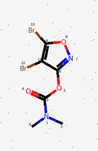 CN(C)C(=O)Oc1noc(Br)c1Br